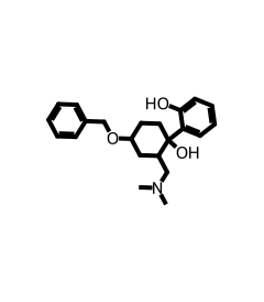 CN(C)CC1CC(OCc2ccccc2)CCC1(O)c1ccccc1O